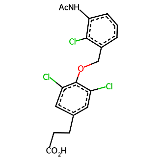 CC(=O)Nc1cccc(COc2c(Cl)cc(CCC(=O)O)cc2Cl)c1Cl